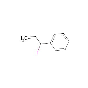 C=CC(I)c1ccccc1